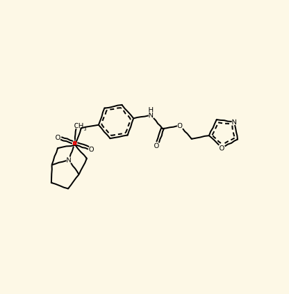 CS(=O)(=O)N1C2CCC1CC(Cc1ccc(NC(=O)OCc3cnco3)cc1)C2